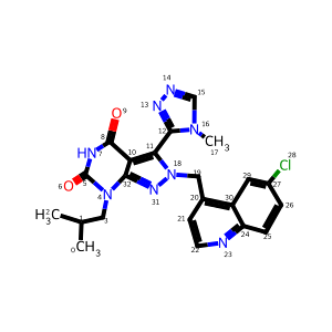 CC(C)Cn1c(=O)[nH]c(=O)c2c(-c3nncn3C)n(Cc3ccnc4ccc(Cl)cc34)nc21